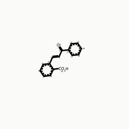 O=C(C=Cc1ccccc1C(=O)O)c1ccccc1